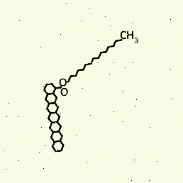 CCCCCCCCCCCCCCCCOC(=O)C1CCCC2CC3CC4CC5CC6CC7CCCCC7CC6CC5CC4CC3CC21